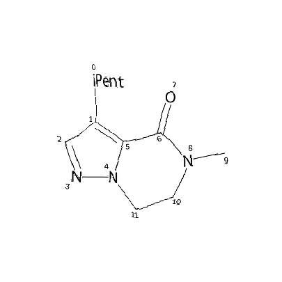 CCCC(C)c1cnn2c1C(=O)N(C)CC2